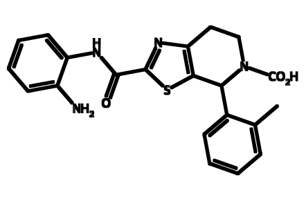 Cc1ccccc1C1c2sc(C(=O)Nc3ccccc3N)nc2CCN1C(=O)O